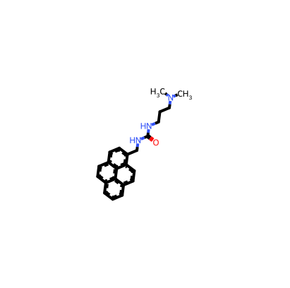 CN(C)CCCNC(=O)NCc1ccc2ccc3cccc4ccc1c2c34